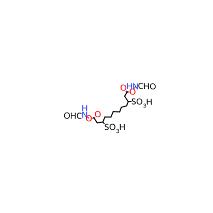 O=CNOC(=O)CC(CCCCCCC(CC(=O)ONC=O)S(=O)(=O)O)S(=O)(=O)O